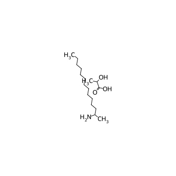 CC(O)C(=O)O.CCCCCCCCCCCCC(C)N